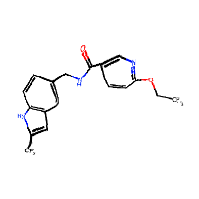 O=C(NCc1ccc2[nH]c(C(F)(F)F)cc2c1)c1ccc(OCC(F)(F)F)nc1